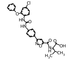 CC(C)[C@H](NC(=O)c1cc(-c2ccc(NC(=O)Nc3ccc(Cl)cc3Oc3ccccc3)cc2)no1)C(=O)O